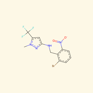 Cn1nc(NCc2c(Br)cccc2[N+](=O)[O-])cc1C(F)(F)F